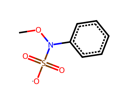 CON(c1ccccc1)S([O])(=O)=O